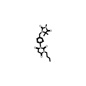 CCCCN1C(=O)CC(=O)N(c2ccc(CN3C(=O)N(C)C(=O)C3(C)C)cc2)C1=O